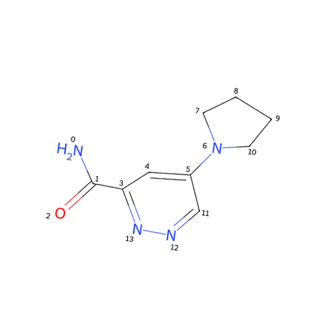 NC(=O)c1cc(N2CCCC2)cnn1